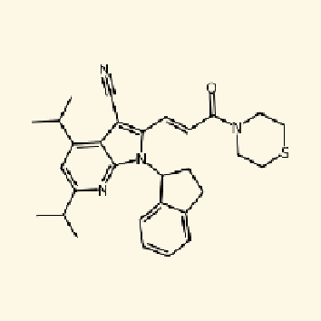 CC(C)c1cc(C(C)C)c2c(C#N)c(/C=C/C(=O)N3CCSCC3)n(C3CCc4ccccc43)c2n1